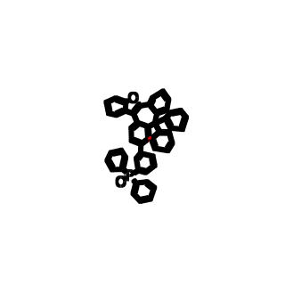 O=P(c1ccccc1)(c1ccccc1)c1cccc(-c2ccc3c(c2)C(c2ccccc2)(c2ccccc2)c2ccccc2-c2oc4ccccc4c2-3)c1